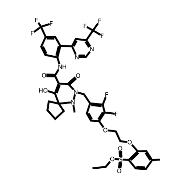 CCOS(=O)(=O)c1ccc(C)cc1OCCOc1ccc(CN2C(=O)C(C(=O)Nc3ccc(C(F)(F)F)cc3-c3cc(C(F)(F)F)ncn3)=C(O)C3(CCCC3)N2C)c(F)c1F